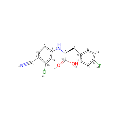 N#Cc1ccc(N[C@@H](Cc2ccc(F)cc2)C(=O)O)cc1Cl